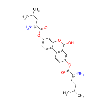 CC(C)CC[C@@H](N)C(=O)Oc1ccc2c(c1)C(O)Oc1cc(OC(=O)[C@H](N)CC(C)C)ccc1-2